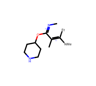 CC/C(NC)=C(C)\C(=N/C)OC1CCNCC1